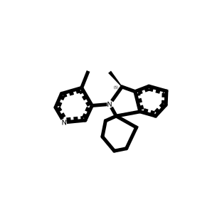 Cc1ccncc1N1[C@@H](C)c2ccccc2C12CCCCC2